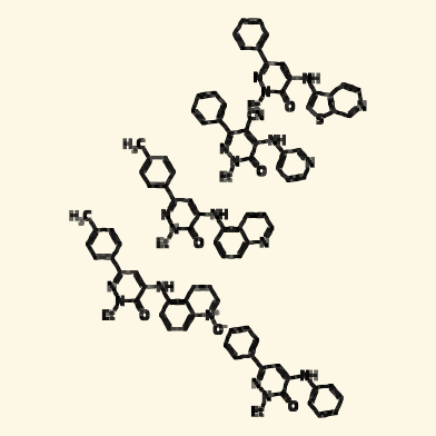 CCn1nc(-c2ccc(C)cc2)cc(Nc2cccc3c2ccc[n+]3[O-])c1=O.CCn1nc(-c2ccc(C)cc2)cc(Nc2cccc3ncccc23)c1=O.CCn1nc(-c2ccccc2)c(C#N)c(Nc2cccnc2)c1=O.CCn1nc(-c2ccccc2)cc(Nc2ccccc2)c1=O.CCn1nc(-c2ccccc2)cc(Nc2csc3cnccc23)c1=O